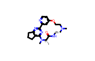 CC(C)NC(=O)[C@H](C)N(C)c1nc(-c2cc(OCCN(C)C)ccn2)nc2c1CCC2